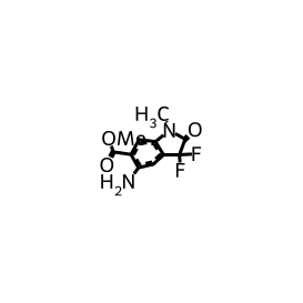 COC(=O)c1cc2c(cc1N)C(F)(F)C(=O)N2C